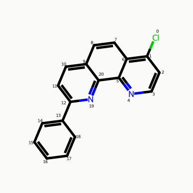 Clc1ccnc2c1ccc1ccc(-c3ccccc3)nc12